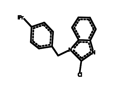 CC(C)c1ccc(Cn2c(Cl)nc3ccccc32)cc1